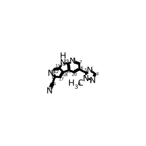 Cn1ncnc1-c1cnc2[nH]c3cnc(C#N)cc3c2c1